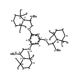 CCCCC(COc1nc(OCC(CCCC)N2C(C)(C)CCCC2(C)C)nc(OCC(CCCC)N2C(C)(C)CCCC2(C)C)n1)N1C(C)(C)CCCC1(C)C